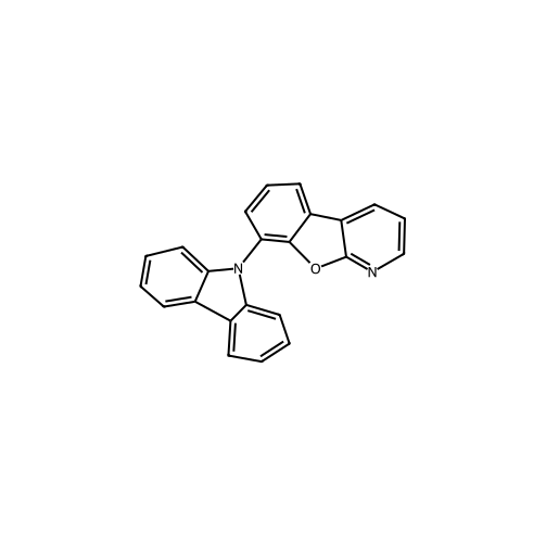 c1cnc2oc3c(-n4c5ccccc5c5ccccc54)cccc3c2c1